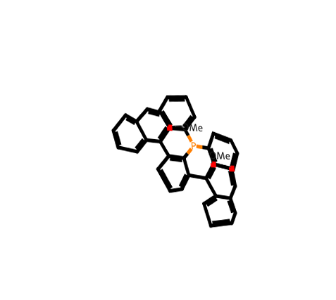 COc1ccc2ccccc2c1-c1cccc(-c2c(OC)ccc3ccccc23)c1P(c1ccccc1)c1ccccc1